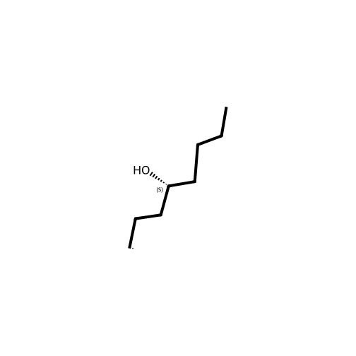 [CH2]CC[C@H](O)CCCC